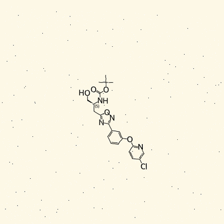 CC(C)(C)OC(=O)N[C@H](CO)Cc1nc(-c2cccc(Oc3ccc(Cl)cn3)c2)no1